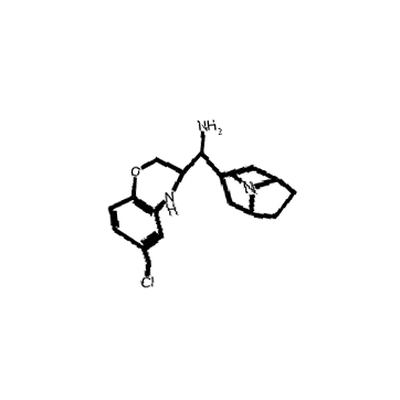 CN1C2CCC1CC(C(N)C1COc3ccc(Cl)cc3N1)C2